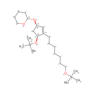 CC(C)(C)[Si](C)(C)OCCCCCCCC1=C[C@H](OC2CCCCO2)C[C@@H]1O[Si](C)(C)C(C)(C)C